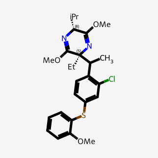 CC[C@@]1(C(C)c2ccc(Sc3ccccc3OC)cc2Cl)N=C(OC)[C@@H](C(C)C)N=C1OC